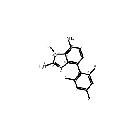 Cc1cc(C)c(-c2ccc(N)c3c2nc(N)n3C)c(C)c1